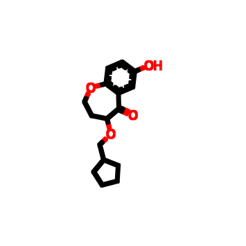 O=C1c2cc(O)ccc2OCCC1OCC1CCCC1